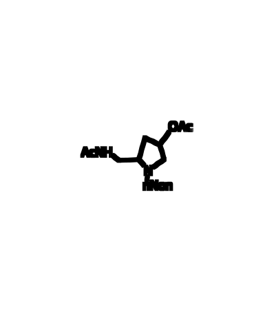 CCCCCCCCCN1CC(OC(C)=O)CC1CNC(C)=O